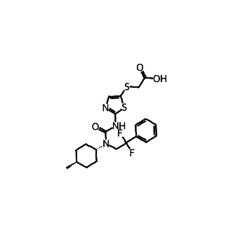 C[C@H]1CC[C@H](N(CC(F)(F)c2ccccc2)C(=O)Nc2ncc(SCC(=O)O)s2)CC1